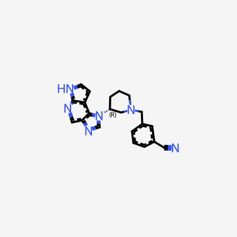 N#Cc1cccc(CN2CCC[C@@H](n3cnc4cnc5[nH]ccc5c43)C2)c1